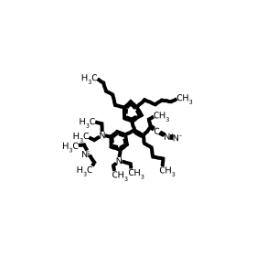 CCCCCC(C(=C=[N+]=[N-])CC)=C(c1cc(CCCCC)cc(CCCCC)c1)c1cc(N(CC)CC)cc(N(CC)CC)c1.C[CH2][Ni][CH2]C